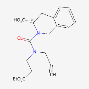 C#CCN(CCC(=O)OCC)C(=O)N1Cc2ccccc2C[C@H]1C(=O)O